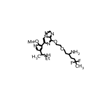 CCN[C@H](C)c1cnc(OC)c(-c2cn3ncnc3c(OCCOCCC(N)CCC(C)(F)F)n2)c1